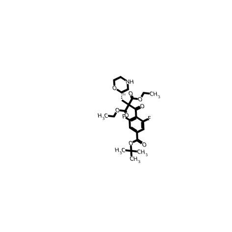 CCOC(=O)C(C[C@H]1CNCCO1)(C(=O)OCC)C(=O)c1c(F)cc(C(=O)OC(C)(C)C)cc1F